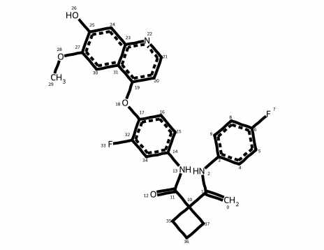 C=C(Nc1ccc(F)cc1)C1(C(=O)Nc2ccc(Oc3ccnc4cc(O)c(OC)cc34)c(F)c2)CCC1